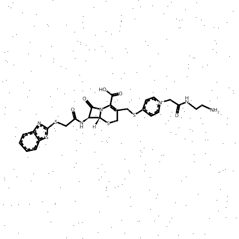 NCCNC(=O)C[n+]1ccc(SCC2=C(C(=O)O)N3C(=O)[C@H](NC(=O)CSc4nc5ccccc5s4)[C@H]3SC2)cc1